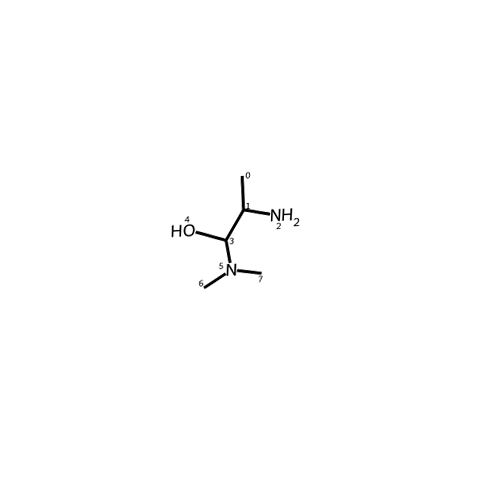 CC(N)C(O)N(C)C